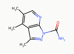 Cc1cnc2c(c(C)nn2C(N)=O)c1C